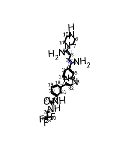 N/C(=C\C=C(/N)N1CCNCC1)c1ccn2c(C3C=CC=C(NC(=O)NCC(F)(F)F)C3)cnc2c1